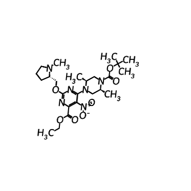 CCOC(=O)c1nc(OC[C@@H]2CCCN2C)nc(N2C[C@H](C)N(C(=O)OC(C)(C)C)C[C@@H]2C)c1[N+](=O)[O-]